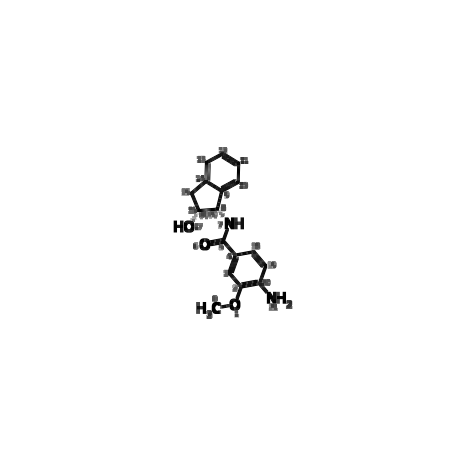 COc1cc(C(=O)N[C@H]2c3ccccc3C[C@H]2O)ccc1N